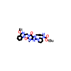 CC#CCn1c(N2CCCC(NC(=O)OC(C)(C)C)C2)nc2c1c(=O)n(Cc1nc(OCC)c3ccccc3n1)c(=O)n2C